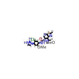 COc1cc(N2C=CNN2)c(Cl)cc1NC(=O)Nc1cnc2sc(C)nc2c1C(C)OC